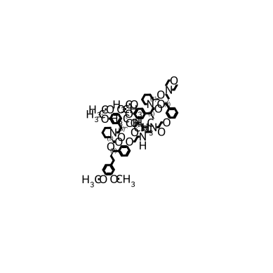 CC[C@H](C(=O)N1CCCC[C@H]1C(=O)O[C@H](CCc1ccc(OC)c(OC)c1)c1cccc(OCC(=O)NCCNC(=O)COc2cccc([C@@H](CCN3CCOCC3)OC(=O)[C@@H]3CCCCN3C(=O)[C@@H](CC)c3cc(OC)c(OC)c(OC)c3)c2)c1)c1cc(OC)c(OC)c(OC)c1